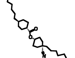 CCCCCC[C@H]1CC[C@H](C(=O)O[C@H]2CC[C@](C#N)(CCCCCC)CC2)CC1